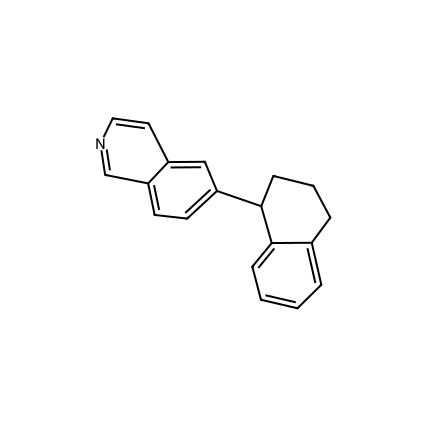 c1ccc2c(c1)CCCC2c1ccc2cnccc2c1